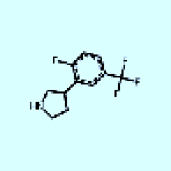 Fc1ccc(C(F)(F)F)cc1C1CCNC1